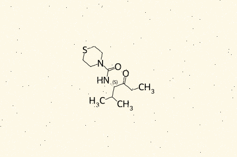 CCC(=O)[C@@H](NC(=O)N1CCSCC1)C(C)C